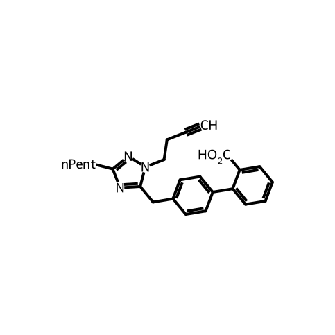 C#CCCn1nc(CCCCC)nc1Cc1ccc(-c2ccccc2C(=O)O)cc1